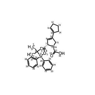 CC(C)(C)[Si](OC[C@@H]1C=C(C2=CCCC2)CN1C(=O)O)(c1ccccc1)c1ccccc1